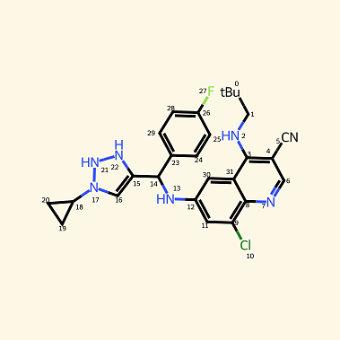 CC(C)(C)CNc1c(C#N)cnc2c(Cl)cc(NC(C3=CN(C4CC4)NN3)c3ccc(F)cc3)cc12